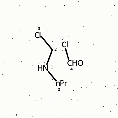 CCCNCCl.O=CCl